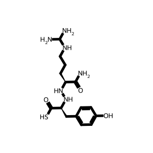 NC(=O)[C@H](CCCNC(N)N)NN[C@@H](Cc1ccc(O)cc1)C(=O)S